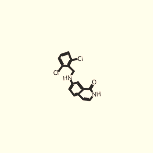 O=c1[nH]ccc2ccc(NCc3c(Cl)cccc3Cl)cc12